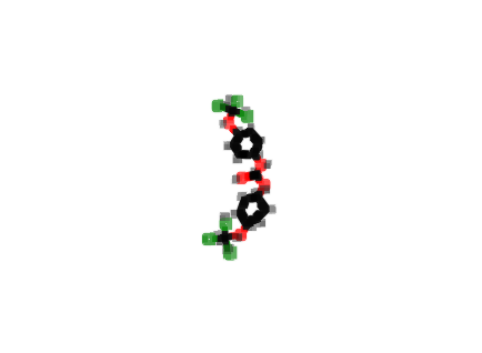 O=C(Oc1ccc(OC(Cl)(Cl)Cl)cc1)Oc1ccc(OC(Cl)(Cl)Cl)cc1